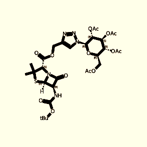 CC(=O)OC[C@H]1O[C@@H](n2cc(COC(=O)[C@@H]3N4C(=O)[C@@H](NC(=O)OC(C)(C)C)[C@H]4SC3(C)C)nn2)[C@H](OC(C)=O)[C@@H](OC(C)=O)[C@@H]1OC(C)=O